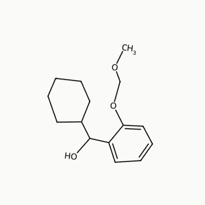 COCOc1ccccc1C(O)C1CCCCC1